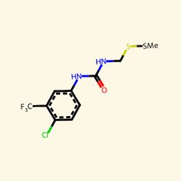 CSSCNC(=O)Nc1ccc(Cl)c(C(F)(F)F)c1